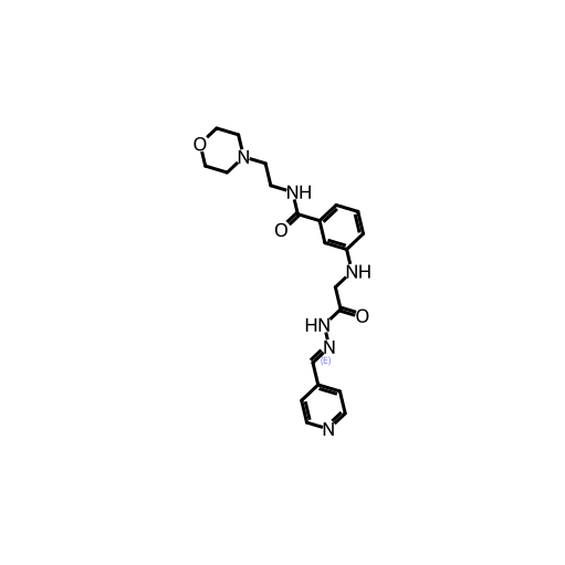 O=C(CNc1cccc(C(=O)NCCN2CCOCC2)c1)N/N=C/c1ccncc1